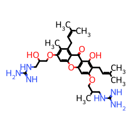 CC(C)=CCc1c(OCC(C)CNC(=N)N)cc2oc3cc(OCC(O)CNC(=N)N)c(C)c(CC=C(C)C)c3c(=O)c2c1O